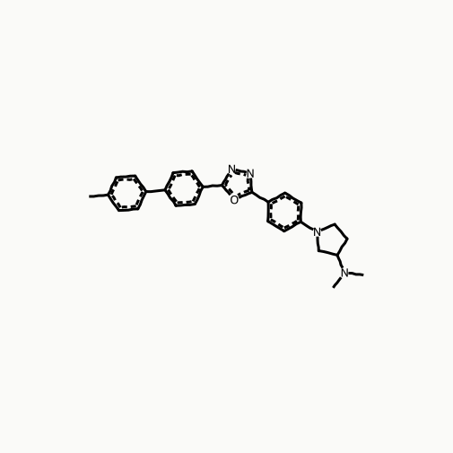 Cc1ccc(-c2ccc(-c3nnc(-c4ccc(N5CCC(N(C)C)C5)cc4)o3)cc2)cc1